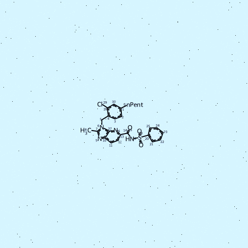 CCCCCc1ccc(Cn2c(C)nc3ccc(C(=O)NS(=O)(=O)c4ccccc4)nc32)c(Cl)c1